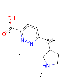 O=C(O)c1ccc([AsH]C2CCNC2)nn1